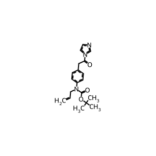 C=CCN(C(=O)OC(C)(C)C)c1ccc(CC(=O)n2ccnc2)cc1